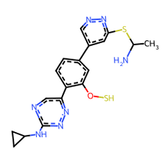 CC(N)Sc1cc(-c2ccc(-c3cnc(NC4CC4)nn3)c(OS)c2)cnn1